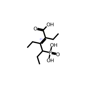 CC/C(C(=O)O)=C(/CC)C(CC)P(=O)(O)O